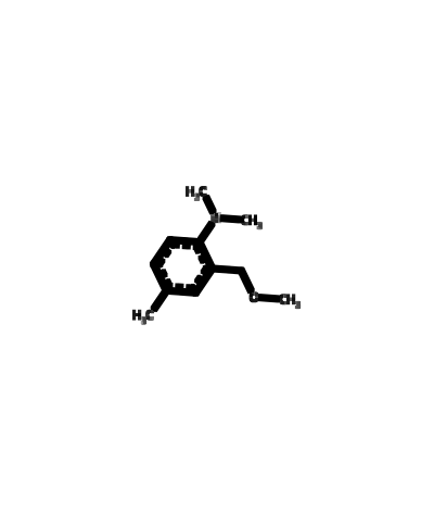 COCc1cc(C)cc[c]1[Bi]([CH3])[CH3]